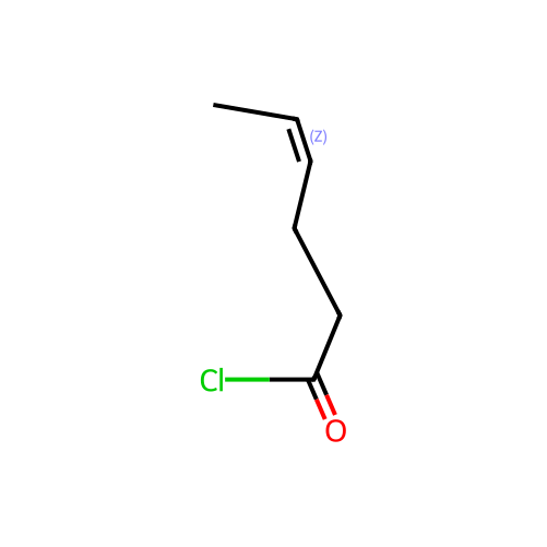 C/C=C\CCC(=O)Cl